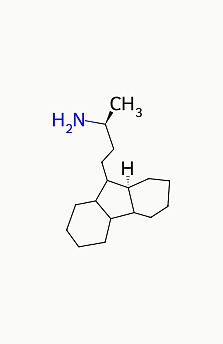 C[C@H](N)CCC1C2CCCCC2C2CCCC[C@@H]21